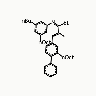 CCCCCCCCc1cc(CCCC)cc(N=C(CC)C(C)=Cc2ccc(-c3ccccc3)c(CCCCCCCC)c2)c1